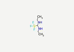 CCNC(NCC)S(F)(F)F